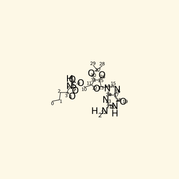 CCCC(=O)NS(=O)(=O)OCC1OC(n2cnc3c(=O)[nH]c(N)nc32)C2OC(C)(C)OC12